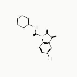 O=C1C(=O)N(C(=O)NC2CCCCC2)c2ccc(Cl)cc21